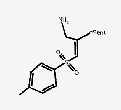 CCCCCC(=CS(=O)(=O)c1ccc(C)cc1)CN